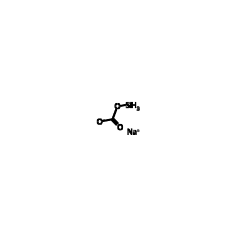 O=C([O-])O[SiH3].[Na+]